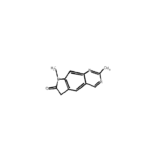 Cc1ncc2cc3c(cc2n1)N(C)C(=O)C3